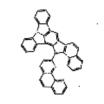 c1ccc2c(c1)ccc1c3cc4c5ccccc5n5c6ccccc6c(c3n(-c3ccc6ccc7cccnc7c6n3)c21)c45